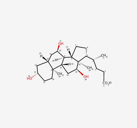 C[C@H](CCC(=O)O)[C@H]1CC[C@H]2[C@@H]3[C@H](O)C[C@H]4C[C@@H](O)CC[C@]4(C)[C@H]3C[C@H](O)[C@]12C